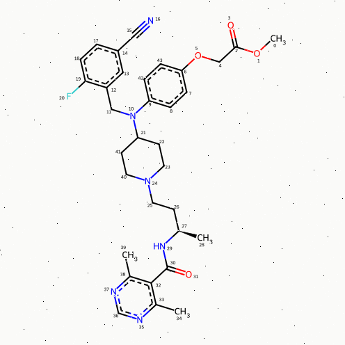 COC(=O)COc1ccc(N(Cc2cc(C#N)ccc2F)C2CCN(CC[C@@H](C)NC(=O)c3c(C)ncnc3C)CC2)cc1